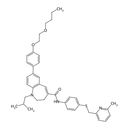 CCCCOCCOc1ccc(-c2ccc3c(c2)C=C(C(=O)Nc2ccc(SCc4cccc(C)n4)cc2)CCN3CC(C)C)cc1